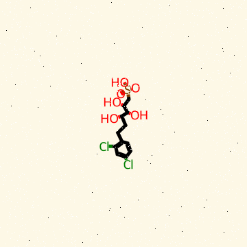 O=S(=O)(O)CC(O)C(O)C(O)CCc1ccc(Cl)cc1Cl